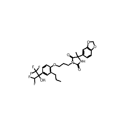 CCCc1cc(C(O)(C(F)F)C(F)(F)F)ccc1OCCCN1C(=O)NC(C)(c2ccc3c(c2)OCO3)C1=O